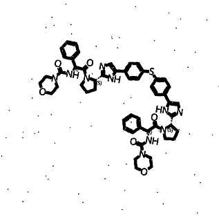 O=C(N[C@@H](C(=O)N1CCC[C@H]1c1ncc(-c2ccc(Sc3ccc(-c4cnc([C@@H]5CCCN5C(=O)[C@H](NC(=O)N5CCOCC5)c5ccccc5)[nH]4)cc3)cc2)[nH]1)c1ccccc1)N1CCOCC1